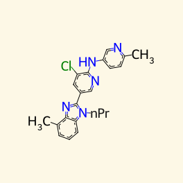 CCCn1c(-c2cnc(Nc3ccc(C)nc3)c(Cl)c2)nc2c(C)cccc21